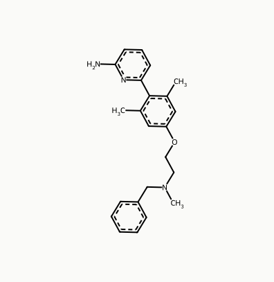 Cc1cc(OCCN(C)Cc2ccccc2)cc(C)c1-c1cccc(N)n1